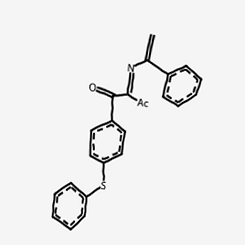 C=C(/N=C(\C(C)=O)C(=O)c1ccc(Sc2ccccc2)cc1)c1ccccc1